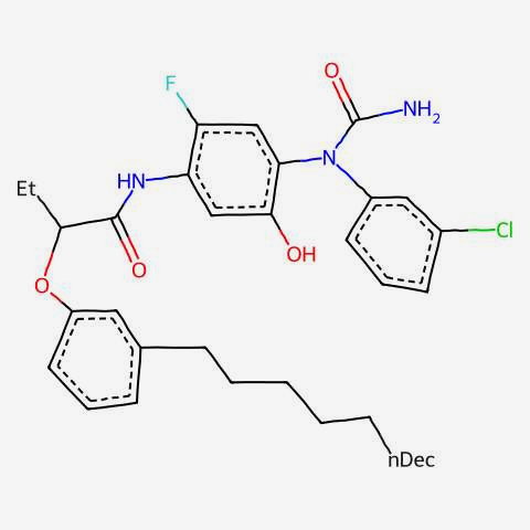 CCCCCCCCCCCCCCCc1cccc(OC(CC)C(=O)Nc2cc(O)c(N(C(N)=O)c3cccc(Cl)c3)cc2F)c1